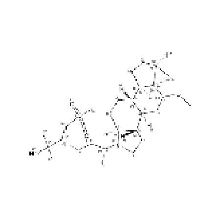 CO[C@@H]1C[C@H]2[C@@H]3CC[C@H]([C@H](C)CC[C@@H](OS(C)(=O)=O)C(C)(C)O)[C@@]3(C)CC[C@@H]2[C@@]2(C)CC[C@H]3C[C@]312